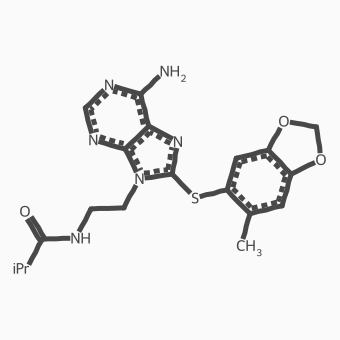 Cc1cc2c(cc1Sc1nc3c(N)ncnc3n1CCNC(=O)C(C)C)OCO2